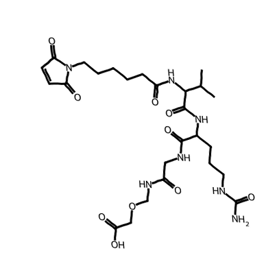 CC(C)C(NC(=O)CCCCCN1C(=O)C=CC1=O)C(=O)NC(CCCNC(N)=O)C(=O)NCC(=O)NCOCC(=O)O